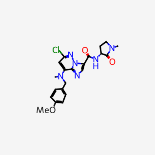 COc1ccc(CN(C)c2cc(Cl)nn3c(C(=O)N[C@H]4CCN(C)C4=O)cnc23)cc1